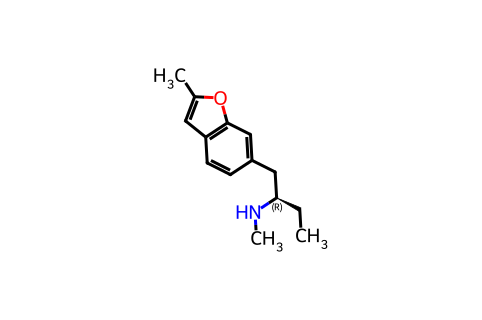 CC[C@H](Cc1ccc2cc(C)oc2c1)NC